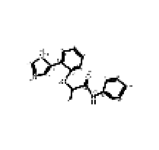 CC(Oc1ccccc1-c1cnc[nH]1)C(=O)Nc1ccccc1